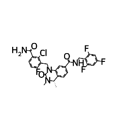 C[C@H]1c2ccc(C(=O)NCc3c(F)cc(F)cc3F)cc2N(Cc2c(F)ccc(C(N)=O)c2Cl)C(=O)N1C